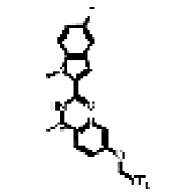 C[C@@H](NC(=O)c1cc2cc(F)ccc2n1C)c1ccc(OCC(F)(F)F)cn1